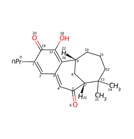 CCCC1=CC2=CC(=O)[C@@H]3C[C@@H](CCCC3(C)C)C2=C(O)C1=O